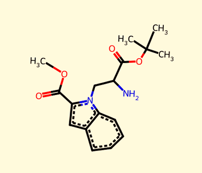 COC(=O)c1cc2ccccc2n1CC(N)C(=O)OC(C)(C)C